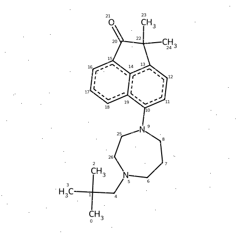 CC(C)(C)CN1CCCN(c2ccc3c4c(cccc24)C(=O)C3(C)C)CC1